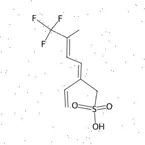 C=C/C(=C\C=C(/C)C(F)(F)F)CS(=O)(=O)O